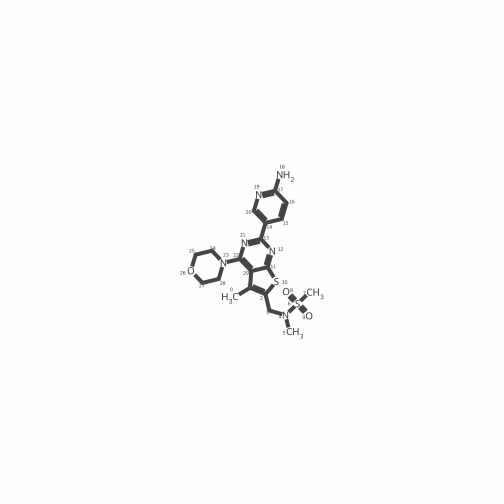 Cc1c(CN(C)S(C)(=O)=O)sc2nc(-c3ccc(N)nc3)nc(N3CCOCC3)c12